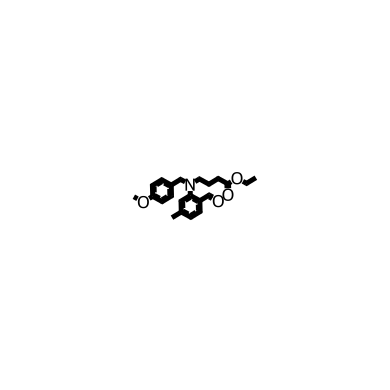 CCOC(=O)CCCN(Cc1ccc(OC)cc1)c1cc(C)ccc1C=O